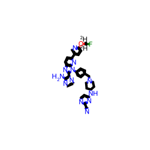 [2H]C([2H])(F)Oc1ccc(-c2ccc3nc(-c4nccnc4N)n(-c4ccc(CN5CCC(Nc6ccnc(C#N)n6)CC5)cc4)c3n2)cn1